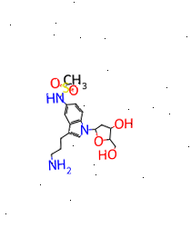 CS(=O)(=O)Nc1ccc2c(c1)c(CCCN)cn2C1CC(O)C(CO)O1